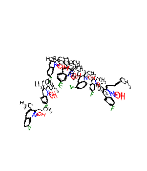 CC(=Cc1ccc(F)cc1)C(=NO)C(C)(C)C.CC(=Cc1ccc(F)cc1)C(=NO)C(C)C.CC(=Cc1ccc(F)cc1)C(=NO)C(C)C.CCC(=NO)C(C)=Cc1ccccc1F.CCC(=NOC)C(C)=Cc1ccc(F)cc1.CCCC(=NO)C(C)=Cc1ccc(F)cc1.CCCCC(=NO)C(C)=Cc1ccc(F)cc1